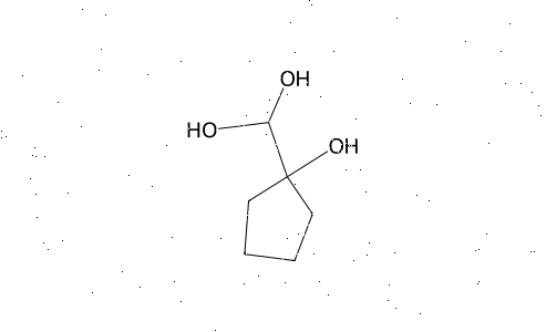 OC(O)C1(O)CCCC1